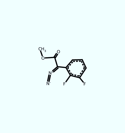 COC(=O)C(=[N+]=[N-])c1cccc(F)c1F